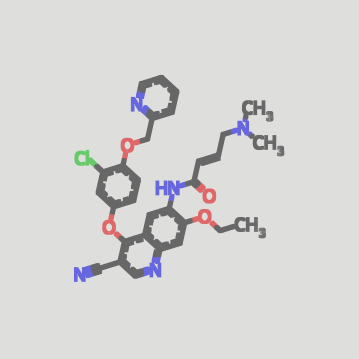 CCOc1cc2ncc(C#N)c(Oc3ccc(OCc4ccccn4)c(Cl)c3)c2cc1NC(=O)/C=C/CN(C)C